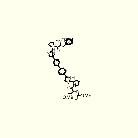 COC(=O)N[C@H](C(=O)N1CCCC1c1ncc(-c2ccc(-c3ccc(-c4cnc([C@@H]5CCCN5C(=O)[C@H](Cc5ccccn5)N(C)C(=O)O)[nH]4)cc3)cc2)[nH]1)[C@@H](C)OC